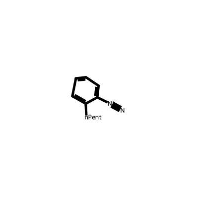 CCCCCc1ccccc1[N+]#N